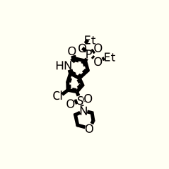 CCOP(=O)(OCC)c1cc2cc(S(=O)(=O)N3CCOCC3)c(Cl)cc2[nH]c1=O